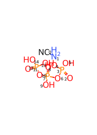 N#CN.O=P(O)(O)OP(=O)(O)OP(=O)(O)O